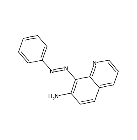 Nc1ccc2cccnc2c1/N=N/c1ccccc1